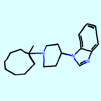 CC1(N2CCC(n3cnc4ccccc43)CC2)CCCCCCC1